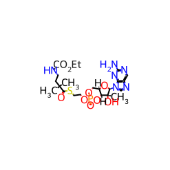 CCOC(=O)NCCC(C)(C)C(=O)SCCOP1(=O)OC[C@H]2O[C@@H](n3cnc4cnc(N)nc43)[C@](C)(O)[C@@H]2O1